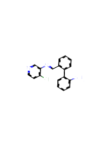 Nc1ccccc1-c1ccccc1C=Nc1cnccc1Cl